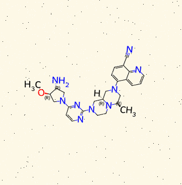 CO[C@@H]1CN(c2ccnc(N3CCN4[C@@H](C3)CN(c3ccc(C#N)c5ncccc35)C[C@H]4C)n2)C[C@H]1N